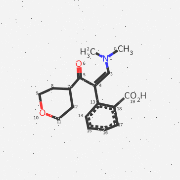 CN(C)C=C(C(=O)C1CCOCC1)c1ccccc1C(=O)O